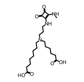 CNc1c(NCCCN(CCCCCCCC(=O)O)CCCCCC(=O)O)c(=O)c1=O